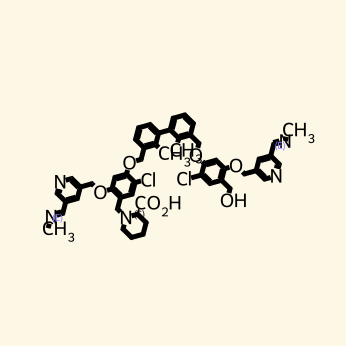 C/N=C/c1cncc(COc2cc(OCc3cccc(-c4cccc(COc5cc(OCc6cncc(/C=N/C)c6)c(CN6CCCC[C@H]6C(=O)O)cc5Cl)c4C)c3C)c(Cl)cc2CO)c1